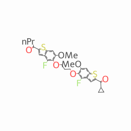 CCCC(=O)c1cc2c(F)c(OCCCOc3c(OC)cc4sc(C(=O)C5CC5)cc4c3F)c(OC)cc2s1